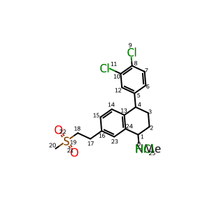 CNC1CCC(c2ccc(Cl)c(Cl)c2)c2ccc(CCS(C)(=O)=O)cc21.Cl